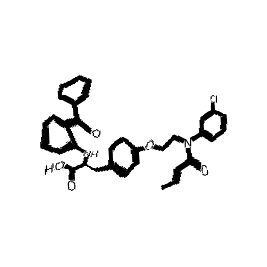 C/C=C/C(=O)N(CCOc1ccc(C[C@H](Nc2ccccc2C(=O)c2ccccc2)C(=O)O)cc1)c1cccc(Cl)c1